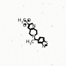 C[C@@H](c1ccc2scnc2c1)N1CCc2cc(S(C)(=O)=O)cnc2CC1